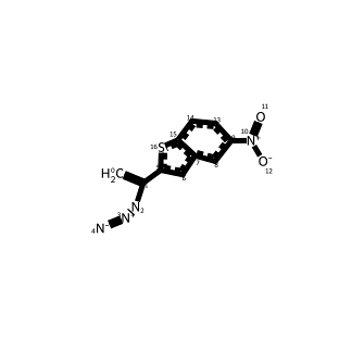 C=C(N=[N+]=[N-])c1cc2cc([N+](=O)[O-])ccc2s1